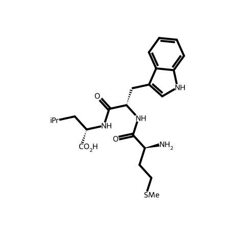 CSCC[C@H](N)C(=O)N[C@@H](Cc1c[nH]c2ccccc12)C(=O)N[C@@H](CC(C)C)C(=O)O